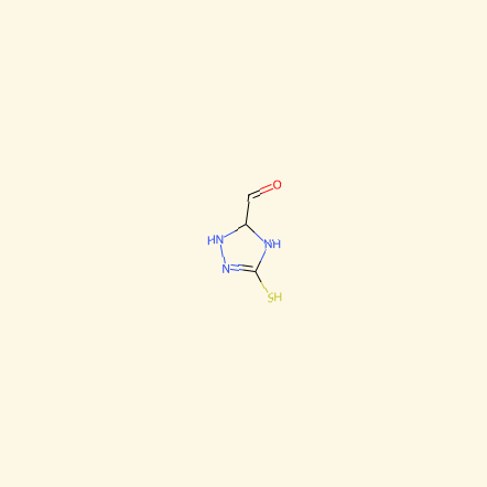 O=CC1NN=C(S)N1